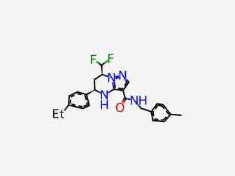 CCc1ccc([C@H]2C[C@@H](C(F)F)n3ncc(C(=O)NCc4ccc(C)cc4)c3N2)cc1